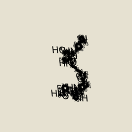 CNC(=O)c1c(F)cccc1Nc1nc(Nc2cc3c(cc2OC)CCN3C(=O)CN(C)C(=O)CCCCC(=O)N[C@H](C(=O)N2C[C@H](O)C[C@H]2C(=O)NCc2ccc(-c3scnc3C)cc2)C(C)(C)C)nc2[nH]ccc12